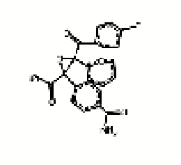 CC(C)C(=O)C1(c2ccc(C(N)=O)cc2)OC1(C(=O)c1ccc(F)cc1)c1ccccc1